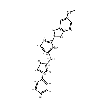 COc1ccc2c(c1)CN(c1nccc(Nc3nc(-c4ccncc4)cs3)n1)C2